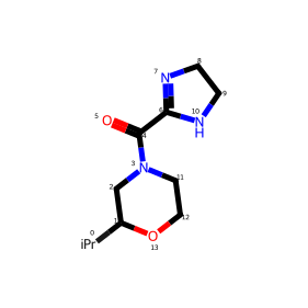 CC(C)C1CN(C(=O)C2=NCCN2)CCO1